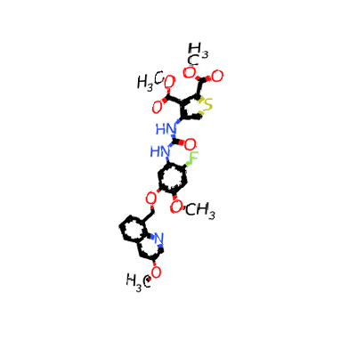 COC(=O)c1scc(NC(=O)Nc2cc(OCc3cccc4cc(OC)cnc34)c(OC)cc2F)c1C(=O)OC